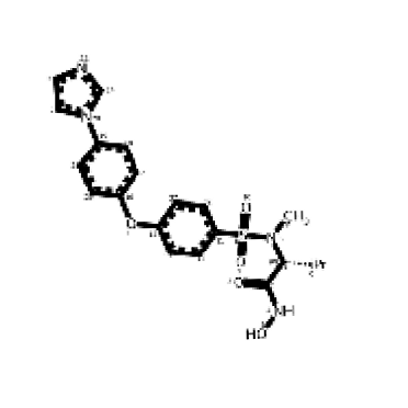 CC(C)[C@H](C(=O)NO)N(C)S(=O)(=O)c1ccc(Oc2ccc(-n3ccnc3)cc2)cc1